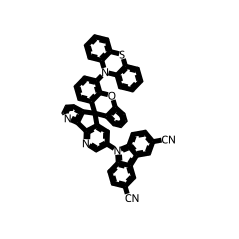 N#Cc1ccc2c(c1)c1cc(C#N)ccc1n2-c1cnc2c(c1)C1(c3ccccc3Oc3c(N4c5ccccc5Sc5ccccc54)cccc31)c1cccnc1-2